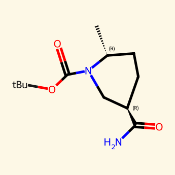 C[C@@H]1CC[C@@H](C(N)=O)CN1C(=O)OC(C)(C)C